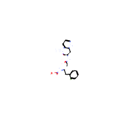 CC(C)(C)OC(=O)N[C@@H](CC(=O)NC1Cc2ncccc2NC1=O)Cc1ccccc1F